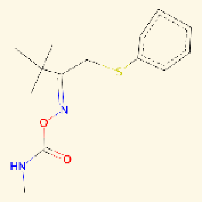 CNC(=O)ON=C(CSc1ccccc1)C(C)(C)C